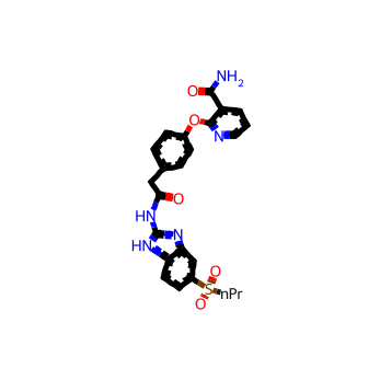 CCCS(=O)(=O)c1ccc2[nH]c(NC(=O)Cc3ccc(Oc4ncccc4C(N)=O)cc3)nc2c1